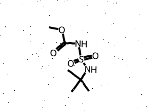 COC(=O)NS(=O)(=O)NC(C)(C)C